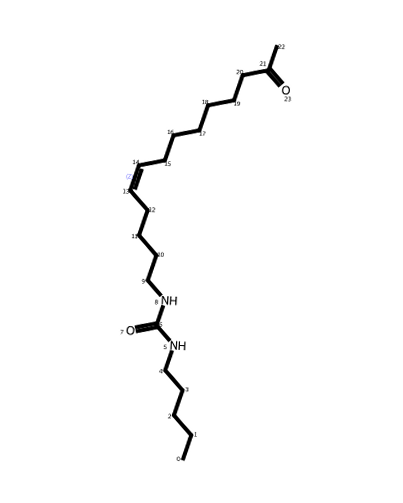 CCCCCNC(=O)NCCCC/C=C\CCCCCCC(C)=O